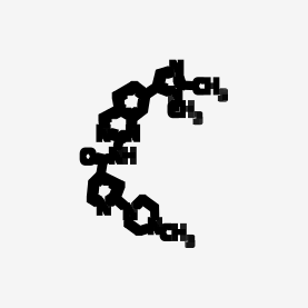 Cc1ncc(-c2ccc3cnc(NC(=O)c4ccnc(N5CCN(C)CC5)c4)nc3c2)n1C